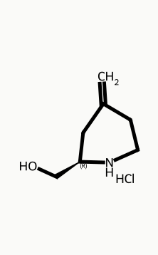 C=C1CCN[C@@H](CO)C1.Cl